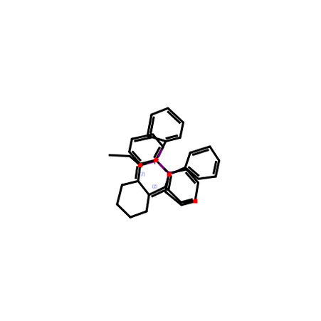 CC/C(=C1\CCCC\C1=C(/CC)P(c1ccccc1)c1ccccc1)P(c1ccccc1)c1ccccc1